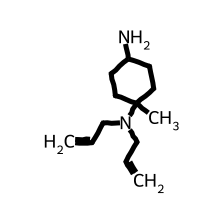 C=CCN(CC=C)C1(C)CCC(N)CC1